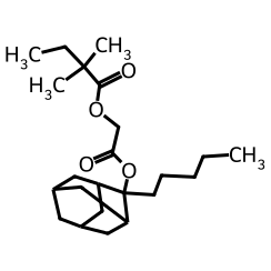 CCCCCC1(OC(=O)COC(=O)C(C)(C)CC)C2CC3CC(C2)CC1C3